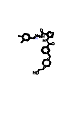 Cc1ccc(/C=N/NC(=O)c2cscc2NC(=O)c2cccc(CN3CCN(CCO)CC3)c2)cc1C